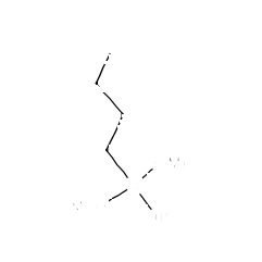 CO[Si](CCCC(F)(F)F)(OC)C(C)(C)C